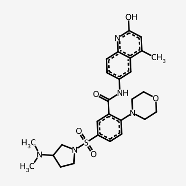 Cc1cc(O)nc2ccc(NC(=O)c3cc(S(=O)(=O)N4CCC(N(C)C)C4)ccc3N3CCOCC3)cc12